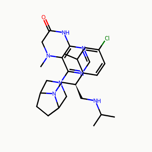 CC(C)NC[C@@H](CN1C2CCC1CN(c1ncnc3c1N(C)CC(=O)N3)C2)C1C=CC(Cl)=CC1C